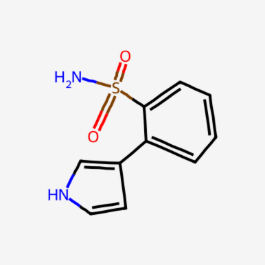 NS(=O)(=O)c1ccccc1-c1cc[nH]c1